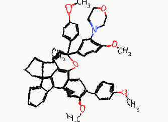 CCC1CCCC12c1ccccc1-c1c2c2c(c3cc(-c4ccc(OC)cc4)c(OC)cc13)OC(c1ccc(OC)cc1)(c1ccc(OC)c(N3CCOCC3)c1)C=C2